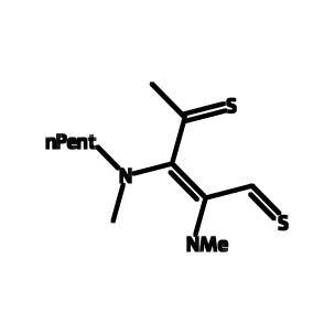 CCCCCN(C)/C(C(C)=S)=C(/C=S)NC